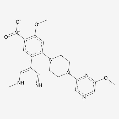 CN/C=C(\C=N)c1cc([N+](=O)[O-])c(OC)cc1N1CCN(c2cncc(OC)n2)CC1